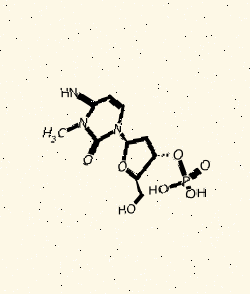 Cn1c(=N)ccn([C@H]2C[C@H](OP(=O)(O)O)[C@@H](CO)O2)c1=O